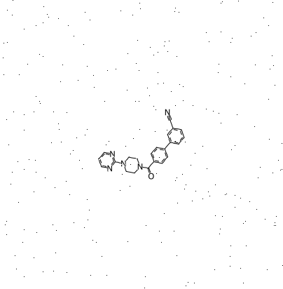 N#Cc1cccc(-c2ccc(C(=O)N3CCN(c4ncccn4)CC3)cc2)c1